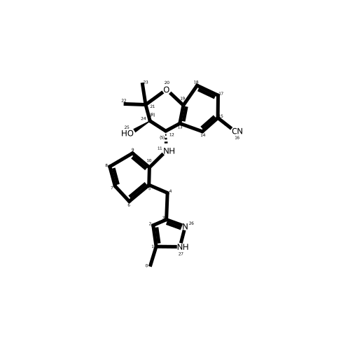 Cc1cc(Cc2ccccc2N[C@H]2c3cc(C#N)ccc3OC(C)(C)[C@@H]2O)n[nH]1